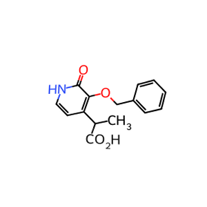 CC(C(=O)O)c1cc[nH]c(=O)c1OCc1ccccc1